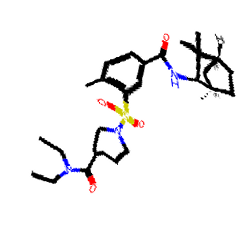 CCN(CC)C(=O)C1CCN(S(=O)(=O)c2cc(C(=O)NC3C(C)(C)[C@@H]4CC[C@]3(C)C4)ccc2C)C1